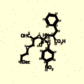 CCCCCCCCCCCCOC[C@@H](C=O)OP(=O)(N[C@@H](Cc1ccccc1)C(=O)O)Oc1ccc([N+](=O)[O-])cc1